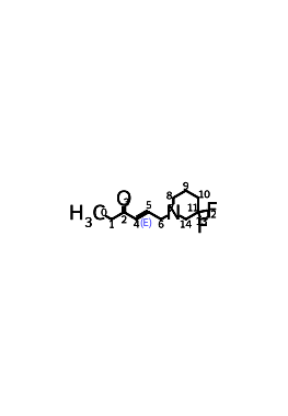 CCC(=O)/C=C/CN1CCCC(F)(F)C1